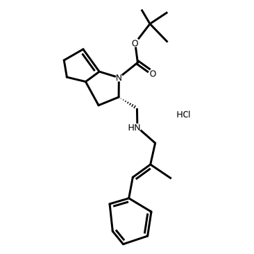 CC(=Cc1ccccc1)CNC[C@@H]1CC2CCC=C2N1C(=O)OC(C)(C)C.Cl